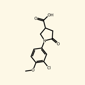 COc1ccc(N2CC(C(=O)O)CC2=O)cc1Cl